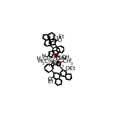 CCOc1c(C2C=CC=CC3=C2C=C(C)[C]32[SiH](C)[C]3(C(C)=CC4=C3C=CC=CC4c3ccc4ccccc4c3OCC)[Zr]23([Cl])([Cl])[C]2(C(C)=CC4=C2C=CC=CC4c2ccc4ccccc4c2OCC)[SiH](C)[C]32C(C)=CC3=C2C=CC=CC3c2ccc3ccccc3c2OCC)ccc2ccccc12